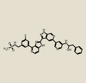 CS(=O)(=O)NCc1cc(F)cc(-c2nccc3[nH]c(-c4n[nH]c5cnc(-c6cncc(NC(O)Cc7ccccc7)c6)cc45)nc23)c1